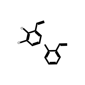 C=Cc1cccc(Cl)c1Cl.C=Cc1ccccc1C